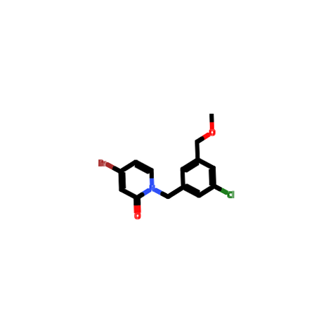 COCc1cc(Cl)cc(Cn2ccc(Br)cc2=O)c1